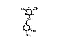 Nc1ccc(CNc2nc(O)cc(O)n2)cc1O